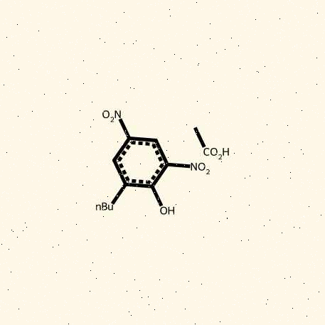 CC(=O)O.CCCCc1cc([N+](=O)[O-])cc([N+](=O)[O-])c1O